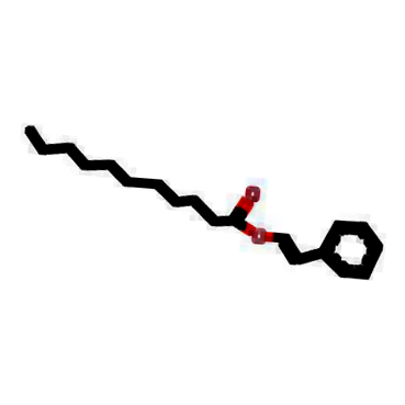 CCCCCCCCCCC(=O)OC=Cc1ccccc1